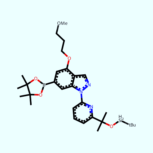 COCCCOc1cc(B2OC(C)(C)C(C)(C)O2)cc2c1cnn2-c1cccc(C(C)(C)O[SiH2]C(C)(C)C)n1